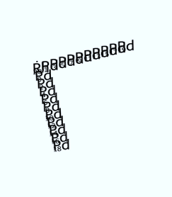 [Pd].[Pd].[Pd].[Pd].[Pd].[Pd].[Pd].[Pd].[Pd].[Pd].[Pd].[Pd].[Pd].[Pd].[Pd].[Pd].[Pd].[Pd].[Pd].[Pd].[Rh]